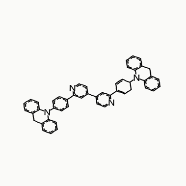 C1=CC(N2c3ccccc3Cc3ccccc32)CC=C1c1cc(-c2ccnc(-c3ccc(N4c5ccccc5Cc5ccccc54)cc3)c2)ccn1